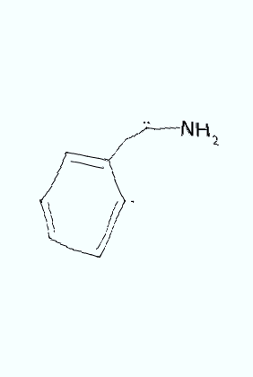 N[C]c1[c]cccc1